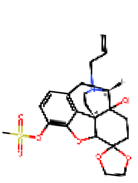 C=CCN1CC[C@]23c4c5ccc(OS(C)(=O)=O)c4OC2C2(CCC3(O)[C@H]1C5)OCCO2